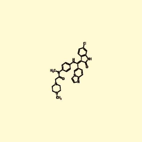 CN1CCN(CC(=O)N(C)c2ccc(NC(=C3C(=O)Nc4cc(Cl)ccc43)c3ccc4nccn4c3)cc2)CC1